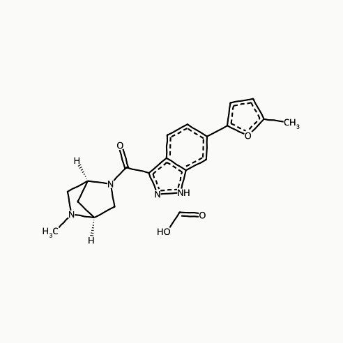 Cc1ccc(-c2ccc3c(C(=O)N4C[C@@H]5C[C@H]4CN5C)n[nH]c3c2)o1.O=CO